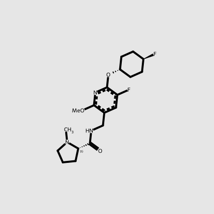 COc1nc(O[C@H]2CC[C@H](F)CC2)c(F)cc1CNC(=O)[C@@H]1CCCN1C